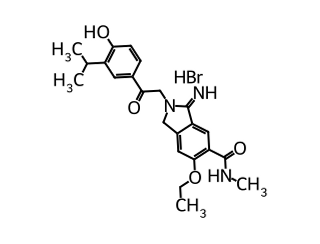 Br.CCOc1cc2c(cc1C(=O)NC)C(=N)N(CC(=O)c1ccc(O)c(C(C)C)c1)C2